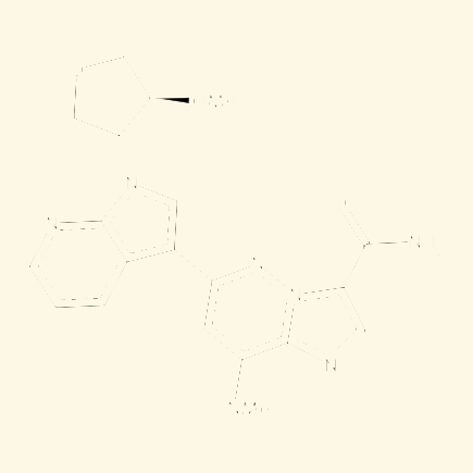 CNc1cc(-c2cn([C@@H]3COC[C@H]3OC)c3ncccc23)nn2c(C(N)=O)cnc12